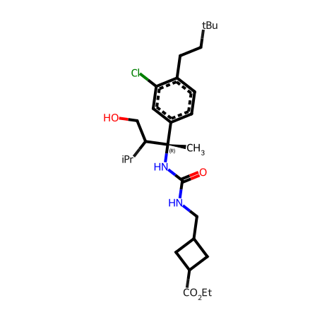 CCOC(=O)C1CC(CNC(=O)N[C@@](C)(c2ccc(CCC(C)(C)C)c(Cl)c2)C(CO)C(C)C)C1